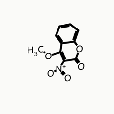 COc1c([N+](=O)[O-])c(=O)oc2ccccc12